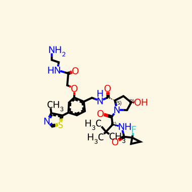 Cc1ncsc1-c1ccc(CNC(=O)[C@@H]2C[C@@H](O)CN2C(=O)[C@@H](NC(=O)C2(F)CC2)C(C)(C)C)c(OCC(=O)NCCN)c1